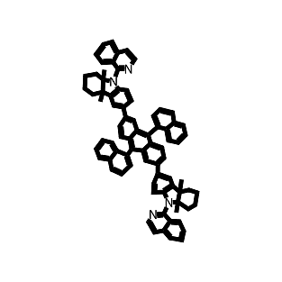 CC12CCCCC1(C)N(c1nccc3ccccc13)c1ccc(-c3ccc4c(-c5cccc6ccccc56)c5cc(-c6ccc7c(c6)C6(C)CCCCC6(C)N7c6nccc7ccccc67)ccc5c(-c5cccc6ccccc56)c4c3)cc12